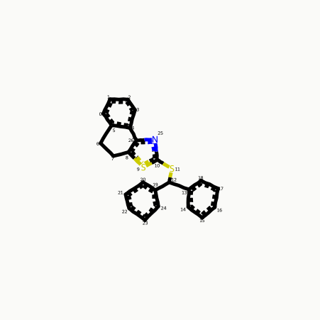 [c]1cccc2c1CCc1sc(SC(c3ccccc3)c3ccccc3)nc1-2